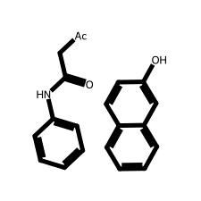 CC(=O)CC(=O)Nc1ccccc1.Oc1ccc2ccccc2c1